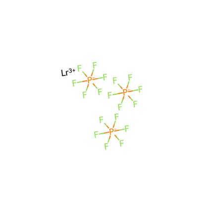 F[P-](F)(F)(F)(F)F.F[P-](F)(F)(F)(F)F.F[P-](F)(F)(F)(F)F.[Lr+3]